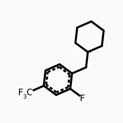 Fc1cc(C(F)(F)F)ccc1C[C]1CCCCC1